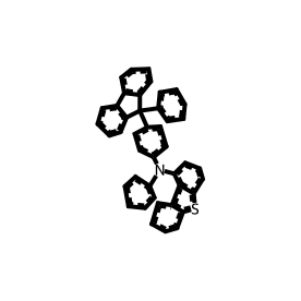 c1ccc(N(c2ccc(C3(c4ccccc4)c4ccccc4-c4ccccc43)cc2)c2cccc3sc4ccccc4c23)cc1